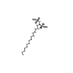 CCCCCCCCCCCCCCCCC(CS(=O)(=O)O)S(=O)(=O)O